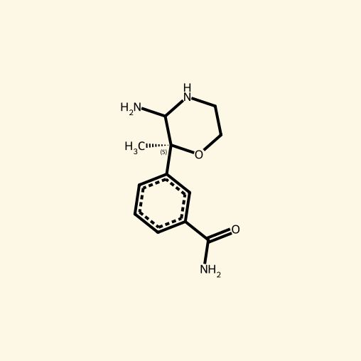 C[C@@]1(c2cccc(C(N)=O)c2)OCCNC1N